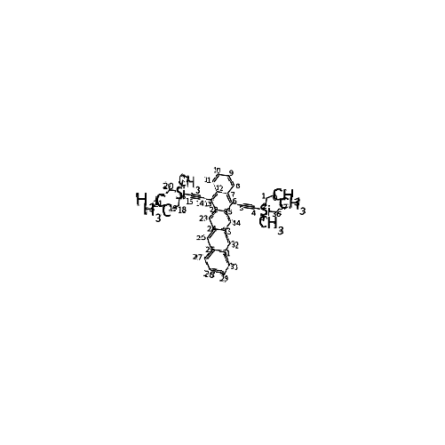 CC[Si](C)(C#Cc1c2ccccc2c(C#C[Si](C)(CC)CC)c2cc3cc4ccccc4cc3cc12)CC